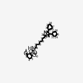 COc1cccc(OC)c1OC(=O)NCCCCCCCC1(C)N=C(c2ccccc2)C(c2ccccc2)=N1